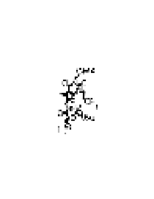 CCO/C=C/C(=O)N(Cc1sc2c(c1C)c(=O)n(CCOC)c(=O)n2CCC(F)(F)F)NC(=O)OC(C)(C)C